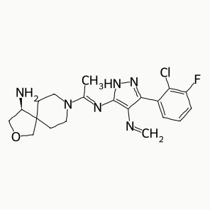 C=Nc1c(-c2cccc(F)c2Cl)n[nH]c1/N=C(\C)N1CCC2(CC1)COC[C@H]2N